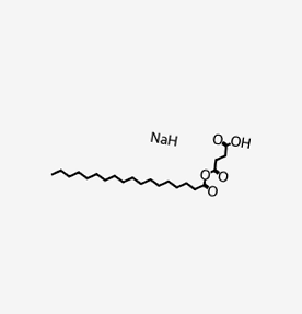 CCCCCCCCCCCCCCCCCC(=O)OC(=O)CCC(=O)O.[NaH]